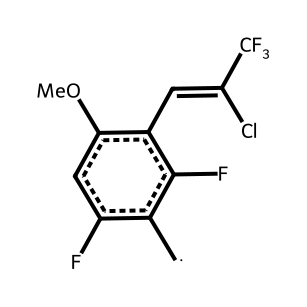 [CH2]c1c(F)cc(OC)c(C=C(Cl)C(F)(F)F)c1F